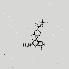 CC1CN(C(=O)OC(C)(C)C)CCN1c1nc(N)nc2c1cnn2C